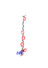 CC(C)OCCCCCCOCCOCCOCCC(=O)N[SH](C)C